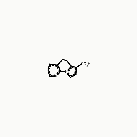 O=C(O)c1ccn2c1CCc1cncnc1-2